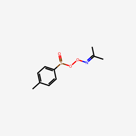 CC(C)=NOOS(=O)c1ccc(C)cc1